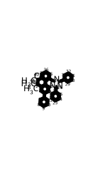 CC1(C)c2cc(-c3ccccc3)ccc2-c2c(-c3nc(-c4ccccc4)nc(-c4ccccc4)n3)cccc2C1(C)C